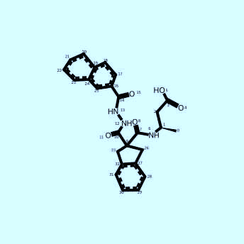 C[C@H](CC(=O)O)NC(=O)C1(C(=O)NNC(=O)c2ccc3ccccc3c2)Cc2ccccc2C1